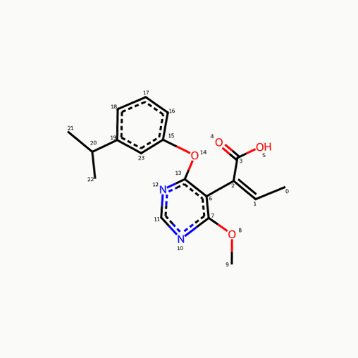 CC=C(C(=O)O)c1c(OC)ncnc1Oc1cccc(C(C)C)c1